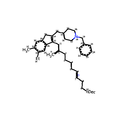 C=C(CCCC/C=C/CCCCCCCCCCCC)CC1=C(CC2CCN(Cc3ccccc3)CC2)Cc2cc(C)c(CC)cc21